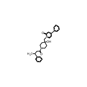 CC(CC(=O)N1CCC(O)(Cn2ccc(-c3ccccc3)cc2=O)CC1)c1ccccc1